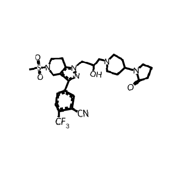 CS(=O)(=O)N1CCc2c(c(-c3ccc(C(F)(F)F)c(C#N)c3)nn2CC(O)CN2CCC(N3CCCC3=O)CC2)C1